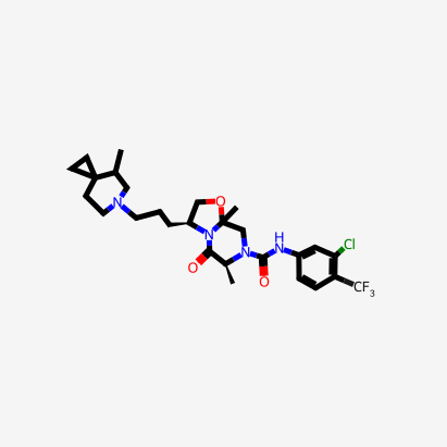 CC1CN(CCC[C@H]2COC3(C)CN(C(=O)Nc4ccc(C(F)(F)F)c(Cl)c4)[C@@H](C)C(=O)N23)CCC12CC2